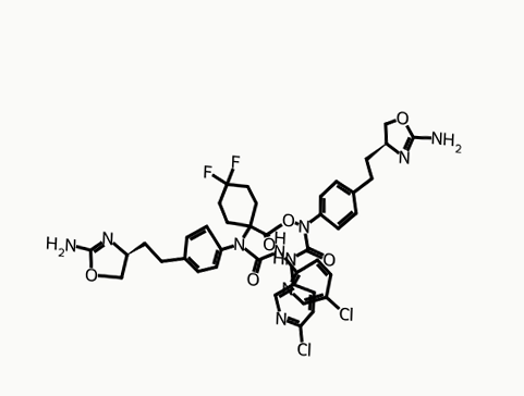 NC1=N[C@@H](CCc2ccc(N(OC(=O)C3(N(C(=O)Nc4ccc(Cl)cn4)c4ccc(CC[C@H]5COC(N)=N5)cc4)CCC(F)(F)CC3)C(=O)Nc3ccc(Cl)nc3)cc2)CO1